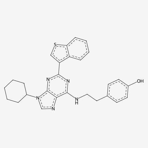 Oc1ccc(CCNc2nc(-c3csc4ccccc34)nc3c2ncn3C2CCCCC2)cc1